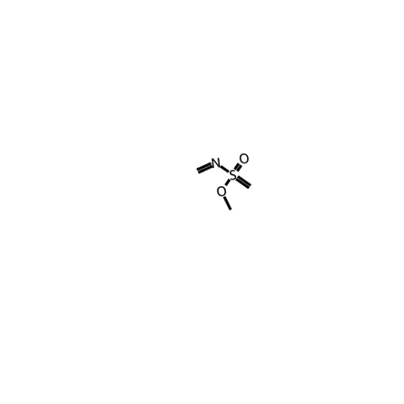 C=NS(=C)(=O)OC